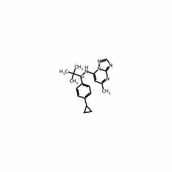 Cc1cc(N[C@@H](c2ccc(C3CC3)cc2)C(C)(C)C)n2ncnc2n1